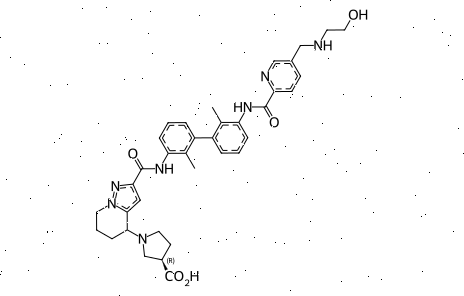 Cc1c(NC(=O)c2ccc(CNCCO)cn2)cccc1-c1cccc(NC(=O)c2cc3n(n2)CCCC3N2CC[C@@H](C(=O)O)C2)c1C